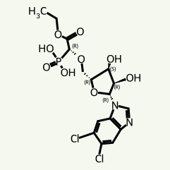 CCOC(=O)[C@H](OC[C@H]1O[C@@H](n2cnc3cc(Cl)c(Cl)cc32)[C@H](O)[C@@H]1O)P(=O)(O)O